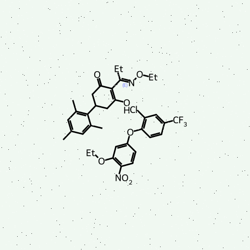 CCO/N=C(\CC)C1=C(O)CC(c2c(C)cc(C)cc2C)CC1=O.CCOc1cc(Oc2ccc(C(F)(F)F)cc2Cl)ccc1[N+](=O)[O-]